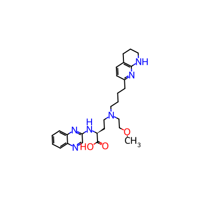 COCCN(CCCCc1ccc2c(n1)NCCC2)CC[C@H](Nc1cnc2ccccc2n1)C(=O)O